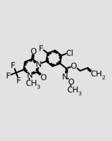 C=CCOC(=NOC)c1cc(-n2c(=O)cc(C(F)(F)F)n(C)c2=O)c(F)cc1Cl